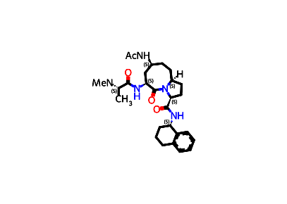 CN[C@@H](C)C(=O)N[C@H]1C[C@@H](NC(C)=O)CC[C@H]2CC[C@@H](C(=O)N[C@H]3CCCc4ccccc43)N2C1=O